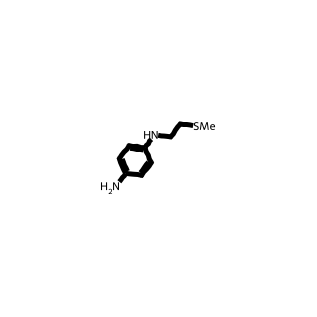 CSCCNc1ccc(N)cc1